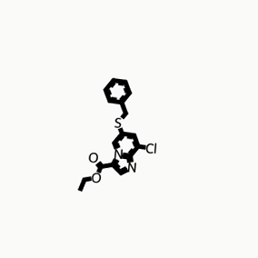 CCOC(=O)c1cnc2c(Cl)cc(SCc3ccccc3)cn12